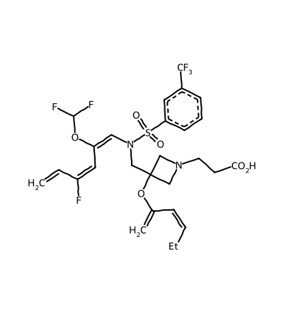 C=C/C(F)=C\C(=C/N(CC1(OC(=C)/C=C\CC)CN(CCC(=O)O)C1)S(=O)(=O)c1cccc(C(F)(F)F)c1)OC(F)F